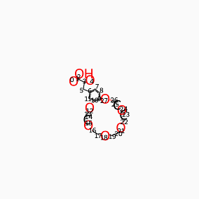 O=C(O)C(=O)Cc1ccc2c(c1)OCCOCCOCCOCCOCCO2